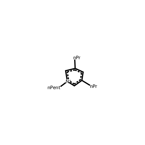 CCCCC[n+]1cc(CCC)cc(CCC)c1